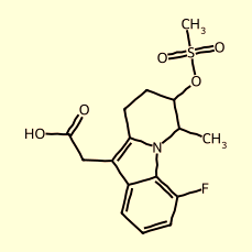 CC1C(OS(C)(=O)=O)CCc2c(CC(=O)O)c3cccc(F)c3n21